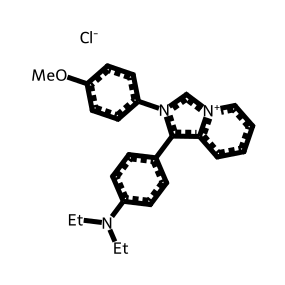 CCN(CC)c1ccc(-c2c3cccc[n+]3cn2-c2ccc(OC)cc2)cc1.[Cl-]